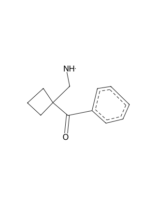 [NH]CC1(C(=O)c2ccccc2)CCC1